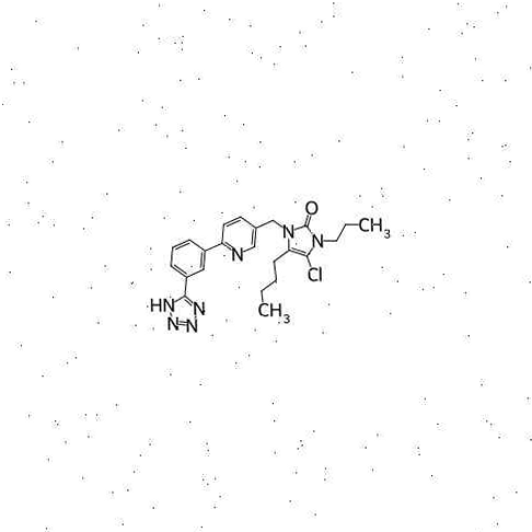 CCCCc1c(Cl)n(CCC)c(=O)n1Cc1ccc(-c2cccc(-c3nnn[nH]3)c2)nc1